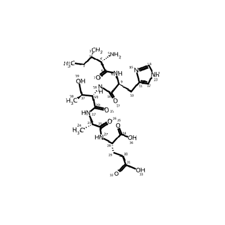 CC[C@H](C)[C@H](N)C(=O)N[C@@H](Cc1c[nH]cn1)C(=O)N[C@H](C(=O)N[C@@H](C)C(=O)N[C@@H](CCC(=O)O)C(=O)O)[C@@H](C)O